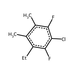 CCc1c(C)c(C)c(F)c(Cl)c1F